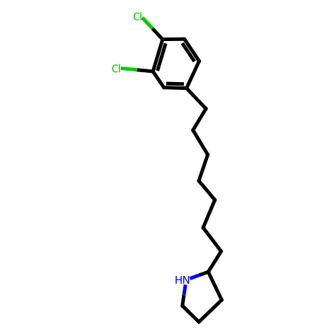 Clc1ccc(CCCCCCCC2CCCN2)cc1Cl